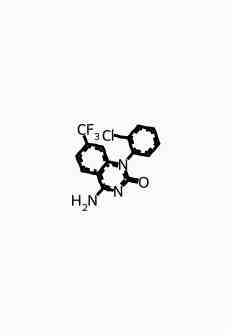 Nc1nc(=O)n(-c2ccccc2Cl)c2cc(C(F)(F)F)ccc12